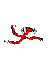 CCCOCCOCCOc1ccc(-c2ccc(CCCCCCCCOc3c(OCCCCCCCCc4ccc(-c5ccc(OCCOCCOCCO)cc5)cc4)cc(COC(=O)NCC[SiH2]O[Si]45O[Si]6(C)OC78O[Si]9(C)O[SiH](O[Si]7(C)O[Si]8(C)O4)O[Si]4(C)O[Si](C)(O5)C4(O9)O6)cc3OCCCCCCCCc3ccc(-c4ccc(OCCOCCOCCO)cc4)cc3)cc2)cc1